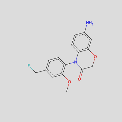 COc1cc(CF)ccc1N1C(=O)COc2cc(N)ccc21